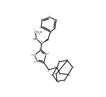 O=C(O)N[C@@H](Cc1ccncc1)c1nc(CC23CC4CC(CC(C4)C2)C3)no1